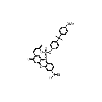 C=C(/C=C\c1cc2nc3ccc(N(CC)CC)cc3oc-2cc1=O)OS(=O)(=O)Oc1ccc(C(C)(C)c2ccc(OC)cc2)cc1